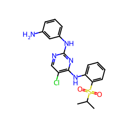 CC(C)S(=O)(=O)c1ccccc1Nc1nc(Nc2cccc(N)c2)ncc1Cl